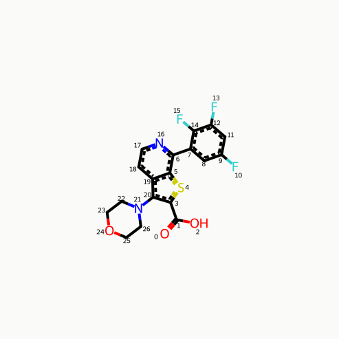 O=C(O)c1sc2c(-c3cc(F)cc(F)c3F)nccc2c1N1CCOCC1